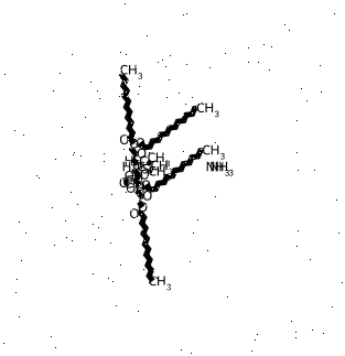 CCCCCCCCCCCCCC(=O)OC[C@H](COC(C(COC[C@@H](COC(=O)CCCCCCCCCCCCC)OC(=O)CCCCCCCCCCCCC)O[Si](C)(C)C(C)(C)C)P(=O)(O)O)OC(=O)CCCCCCCCCCCCC.N.N